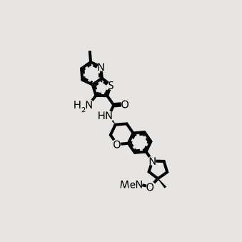 CNO[C@@]1(C)CCN(c2ccc3c(c2)OC[C@H](NC(=O)c2sc4nc(C)ccc4c2N)C3)C1